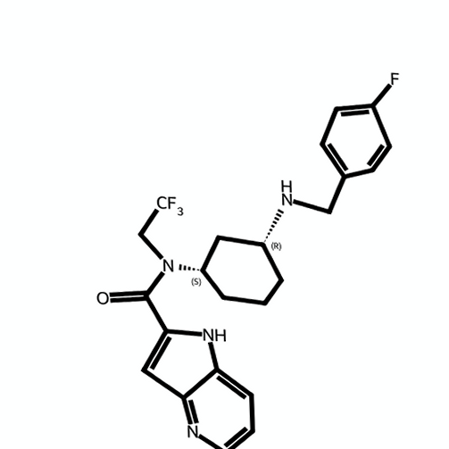 O=C(c1cc2ncccc2[nH]1)N(CC(F)(F)F)[C@H]1CCC[C@@H](NCc2ccc(F)cc2)C1